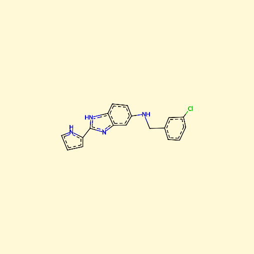 Clc1cccc(CNc2ccc3[nH]c(-c4ccc[nH]4)nc3c2)c1